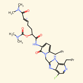 CC(C)Cc1ncc(F)c2nc(Cn3c(CC(C)C)ccc(NC(=O)C(CC/C=C/C(=O)N(C)C)OC(=O)N(C)C)c3=O)[nH]c12